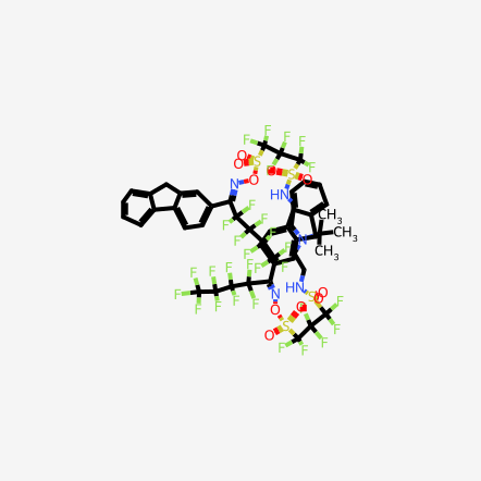 CC(C)(C)N(CCNS(=O)(=O)C(F)(F)C(F)(F)C(F)(F)S(=O)(=O)ON=C(c1ccc2c(c1)Cc1ccccc1-2)C(F)(F)C(F)(F)C(F)(F)C(F)(F)F)CCNS(=O)(=O)C(F)(F)C(F)(F)C(F)(F)S(=O)(=O)ON=C(c1ccc2c(c1)Cc1ccccc1-2)C(F)(F)C(F)(F)C(F)(F)C(F)(F)F